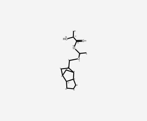 CC(OCC1CC2CC1C1CCCC21)OC(=O)C(C)O